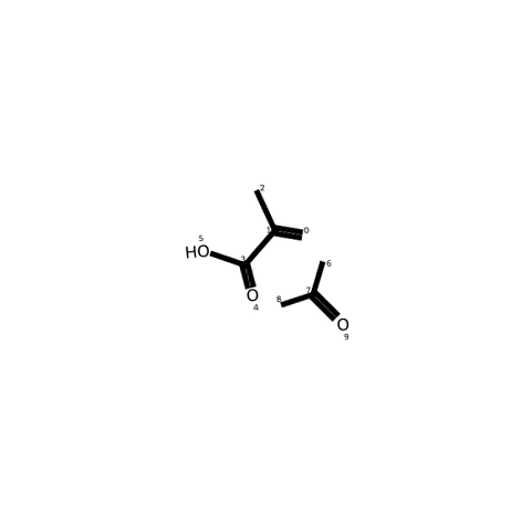 C=C(C)C(=O)O.CC(C)=O